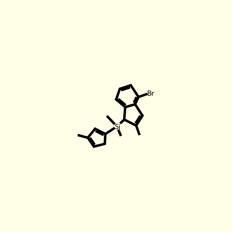 CC1=CCC([Si](C)(C)C2C(C)=Cc3c(Br)cccc32)=C1